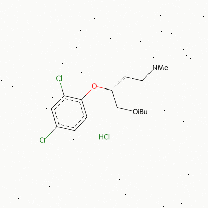 CNCC[C@H](COCC(C)C)Oc1ccc(Cl)cc1Cl.Cl